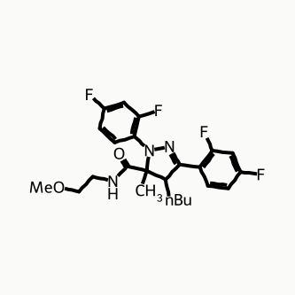 CCCCC1C(c2ccc(F)cc2F)=NN(c2ccc(F)cc2F)C1(C)C(=O)NCCOC